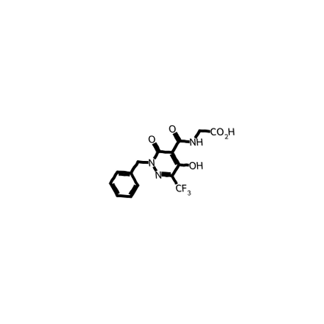 O=C(O)CNC(=O)c1c(O)c(C(F)(F)F)nn(Cc2ccccc2)c1=O